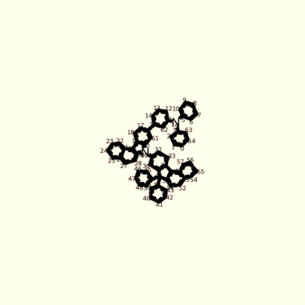 c1ccc(N(c2ccccc2)c2cccc(-c3ccc4c5c6ccccc6ccc5n(-c5ccc6c(c5)C(c5ccccc5)(c5ccccc5)c5ccc7ccccc7c5-6)c4c3)c2)cc1